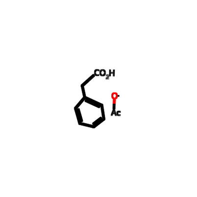 CC([O])=O.O=C(O)Cc1ccccc1